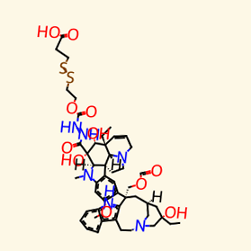 CC[C@]1(O)C[C@H]2C[N@@](CCc3c([nH]c4ccccc34)[C@@](COC=O)(c3cc4c(cc3OC)N(C)[C@H]3[C@@](O)(C(=O)NNC(=O)OCCSSCCC(=O)O)[C@H](O)[C@]5(CC)C=CCN6CC[C@]43[C@@H]65)C2)C1